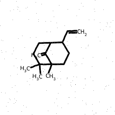 C=CC1CCC2(C)C(=C)C1CCC2(C)C